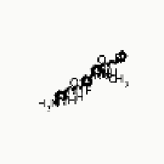 CCNc1nc(-c2ccc(NC(=O)NCc3ccc(N)nc3)c(F)c2)ccc1C(=O)NCCN1CCCC1